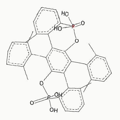 Cc1cccc(C)c1-c1c(OP(=O)(O)O)c(-c2c(C)cccc2C)c(-c2c(C)cccc2C)c(OP(=O)(O)O)c1-c1c(C)cccc1C